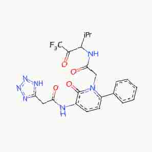 CC(C)C(NC(=O)Cn1c(-c2ccccc2)ccc(NC(=O)Cc2nnn[nH]2)c1=O)C(=O)C(F)(F)F